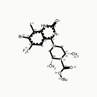 C[C@@H]1CN(c2nc(=O)[nH]c3c(I)c(Br)c(C(F)(F)F)cc23)C[C@H](C)N1C(=O)OC(C)(C)C